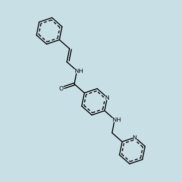 O=C(NC=Cc1ccccc1)c1ccc(NCc2ccccn2)nc1